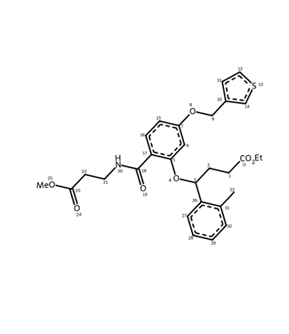 CCOC(=O)CCC(Oc1cc(OCc2ccsc2)ccc1C(=O)NCCC(=O)OC)c1ccccc1C